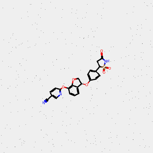 N#Cc1ccc(Oc2cccc3c2OC[C@H]3Oc2ccc(C3CC(=O)NS3(=O)=O)cc2)nc1